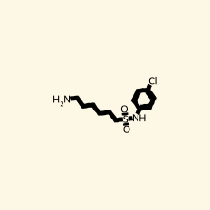 NCCCCCCS(=O)(=O)Nc1ccc(Cl)cc1